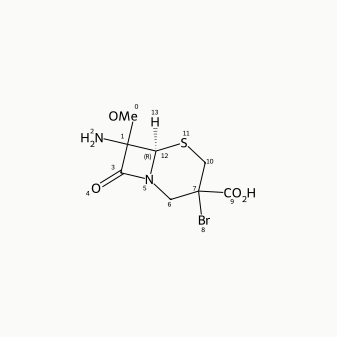 COC1(N)C(=O)N2CC(Br)(C(=O)O)CS[C@@H]21